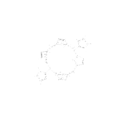 C1=Cc2nc1cc1ccc([nH]1)c(-c1cncs1)c1nc(cc3ccc([nH]3)c2-c2cncs2)C=C1